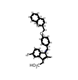 CC1=C(CC(=O)O)c2cc(F)ccc2/C1=C\c1ccc(OCc2ccc3ccccc3n2)cc1